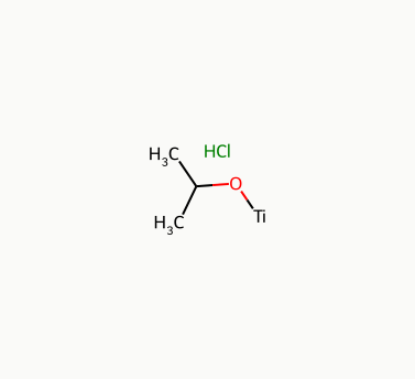 CC(C)[O][Ti].Cl